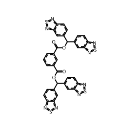 O=C(OC(c1ccc2nsnc2c1)c1ccc2nsnc2c1)c1cccc(C(=O)OC(c2ccc3nsnc3c2)c2ccc3nsnc3c2)c1